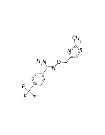 Cc1nc(CO/N=C(\N)c2ccc(C(F)(F)F)cc2)cs1